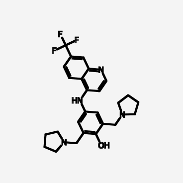 Oc1c(CN2CCCC2)cc(Nc2ccnc3cc(C(F)(F)F)ccc23)cc1CN1CCCC1